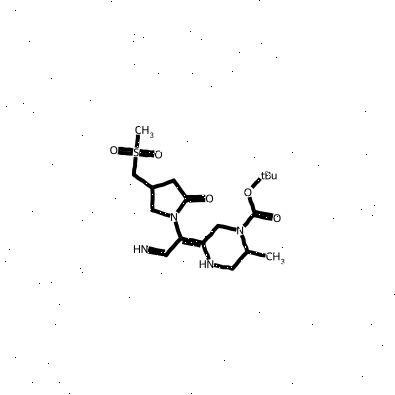 CC1CN/C(=C(\C=N)N2CC(CS(C)(=O)=O)CC2=O)CN1C(=O)OC(C)(C)C